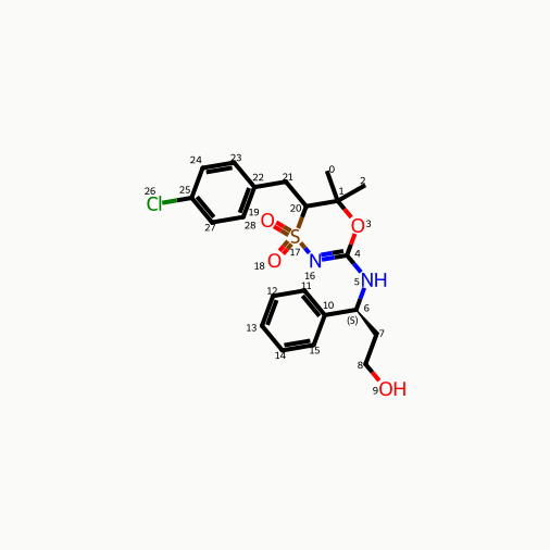 CC1(C)OC(N[C@@H](CCO)c2ccccc2)=NS(=O)(=O)C1Cc1ccc(Cl)cc1